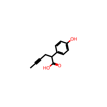 CC#CCC(C(=O)O)c1ccc(O)cc1